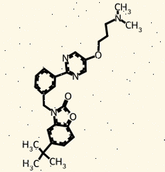 CN(C)CCCOc1cnc(-c2cccc(Cn3c(=O)oc4ccc(C(C)(C)C)cc43)c2)nc1